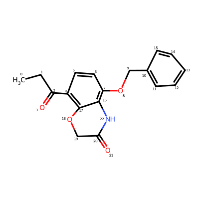 CCC(=O)c1ccc(OCc2ccccc2)c2c1OCC(=O)N2